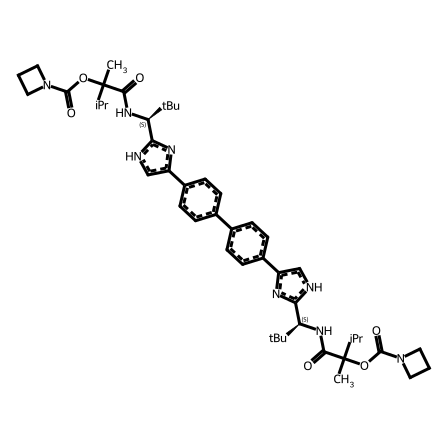 CC(C)C(C)(OC(=O)N1CCC1)C(=O)N[C@H](c1nc(-c2ccc(-c3ccc(-c4c[nH]c([C@@H](NC(=O)C(C)(OC(=O)N5CCC5)C(C)C)C(C)(C)C)n4)cc3)cc2)c[nH]1)C(C)(C)C